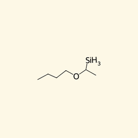 CCCCOC(C)[SiH3]